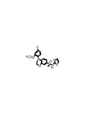 COc1cc(F)ccc1N1CCOc2cc(S(=O)(=O)Nc3nccs3)ccc21